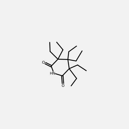 CCC1(CC)C(=O)NC(=O)C(CC)(CC)C1(CC)CC